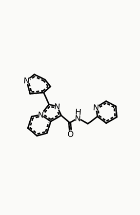 O=C(NCc1ccccn1)c1nc(-c2cccnc2)n2ccccc12